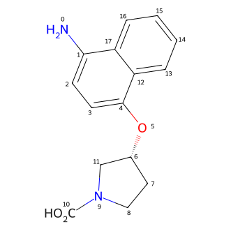 Nc1ccc(O[C@@H]2CCN(C(=O)O)C2)c2ccccc12